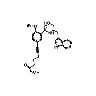 COC(=O)CCCC#Cc1ccc(OC(C)C)c(C(=O)N[C@@H](CO)Cc2c[nH]c3ccccc23)c1